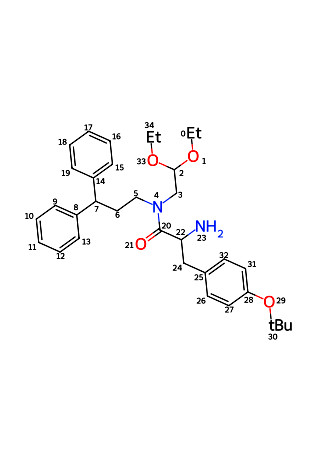 CCOC(CN(CCC(c1ccccc1)c1ccccc1)C(=O)C(N)Cc1ccc(OC(C)(C)C)cc1)OCC